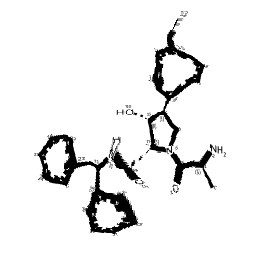 C[C@H](N)C(=O)N1C[C@H](c2ccc(F)cc2)[C@@H](O)[C@H]1C(=O)NC(c1ccccc1)c1ccccc1